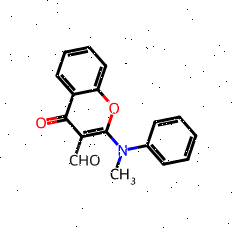 CN(c1ccccc1)c1oc2ccccc2c(=O)c1C=O